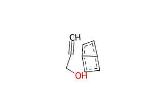 C#CCO.c1cc2ccc1-2